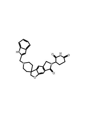 O=C1CCC(N2Cc3cc4c(cc3C2=O)OCC42CCN(Cc3cc4ccccc4[nH]3)CC2)C(=O)N1